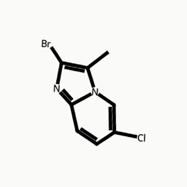 Cc1c(Br)nc2ccc(Cl)cn12